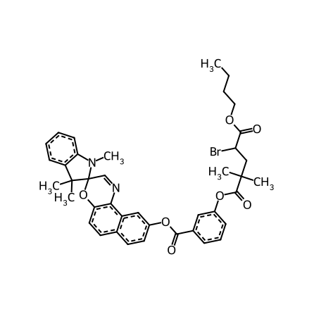 CCCCOC(=O)C(Br)CC(C)(C)C(=O)Oc1cccc(C(=O)Oc2ccc3ccc4c(c3c2)N=CC2(O4)N(C)c3ccccc3C2(C)C)c1